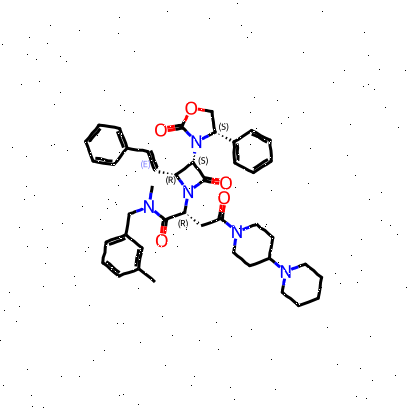 Cc1cccc(CN(C)C(=O)[C@@H](CC(=O)N2CCC(N3CCCCC3)CC2)N2C(=O)[C@@H](N3C(=O)OC[C@@H]3c3ccccc3)[C@H]2/C=C/c2ccccc2)c1